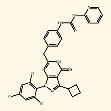 O=C(Nc1ccc(Cc2nc3c(c(C4CCC4)nn3-c3c(Cl)cc(Cl)cc3Cl)c(=O)[nH]2)cc1)Nc1ccccn1